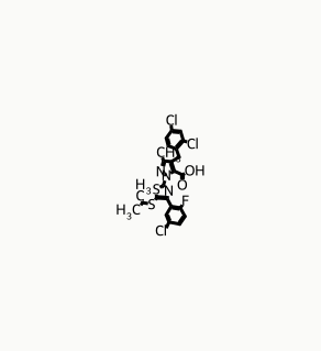 Cc1nn(-c2nc(-c3cc(Cl)ccc3F)c(SC(C)C)s2)c(C(=O)O)c1Cc1ccc(Cl)cc1Cl